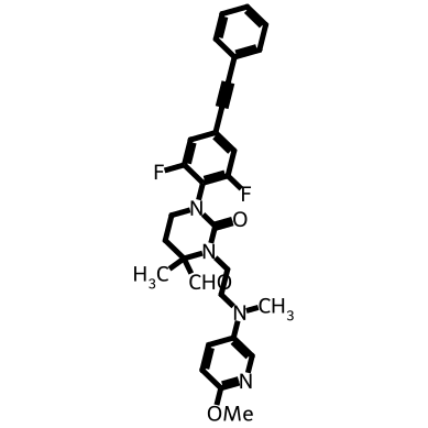 COc1ccc(N(C)CCN2C(=O)N(c3c(F)cc(C#Cc4ccccc4)cc3F)CCC2(C)C=O)cn1